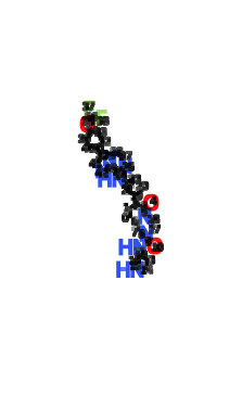 C=C/C(C(=O)N1CCN(C(=O)N[C@H]2CCNC2)CC1)=C(C)\C=C(/C)Nc1nccn2c(-c3ccc(OC(F)F)cc3)cnc12